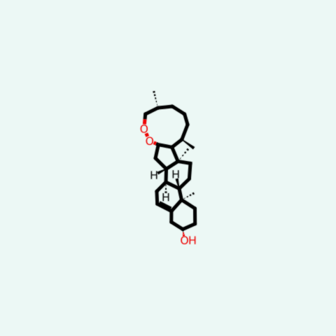 C[C@@H]1CCC[C@@H](C)C2C(C[C@H]3[C@@H]4CC=C5C[C@@H](O)CC[C@]5(C)[C@H]4CC[C@]23C)OOC1